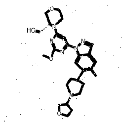 COc1nc(N2CCOC[C@H]2CO)cc(-n2ncc3cc(C)c(C4CCN(C5CCOC5)CC4)cc32)n1